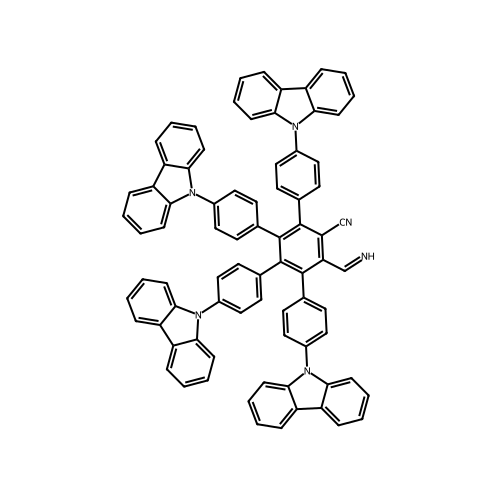 N#Cc1c(C=N)c(-c2ccc(-n3c4ccccc4c4ccccc43)cc2)c(-c2ccc(-n3c4ccccc4c4ccccc43)cc2)c(-c2ccc(-n3c4ccccc4c4ccccc43)cc2)c1-c1ccc(-n2c3ccccc3c3ccccc32)cc1